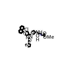 COC(=O)/C=C/C(O)NC1CCN(c2nc(OC[C@@H]3CCCN3C)nc3c2CCN(c2cccc4cccc(Cl)c24)C3)C1